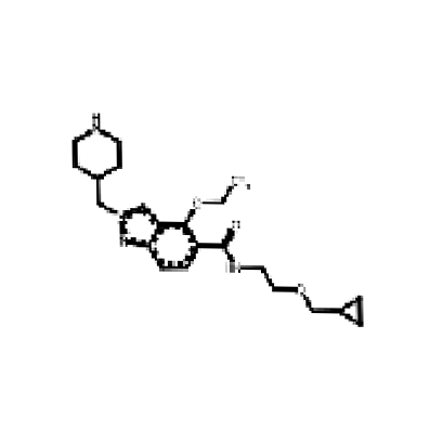 O=C(NCCOCC1CC1)c1ccc2nn(CC3CCNCC3)cc2c1OCC(F)(F)F